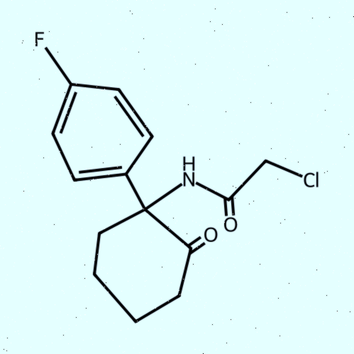 O=C(CCl)NC1(c2ccc(F)cc2)CCCCC1=O